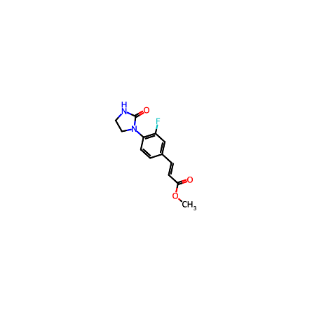 COC(=O)C=Cc1ccc(N2CCNC2=O)c(F)c1